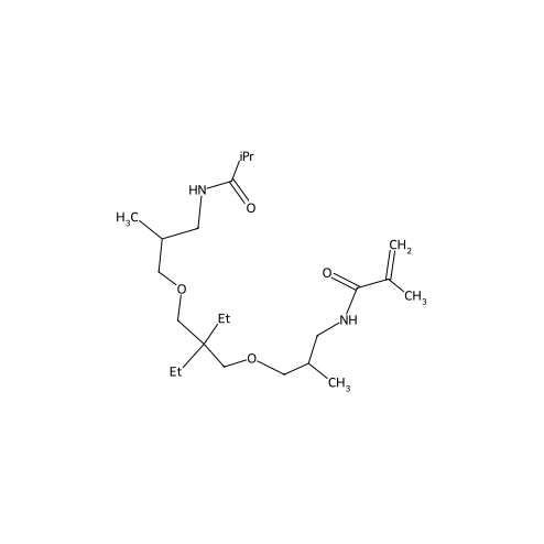 C=C(C)C(=O)NCC(C)COCC(CC)(CC)COCC(C)CNC(=O)C(C)C